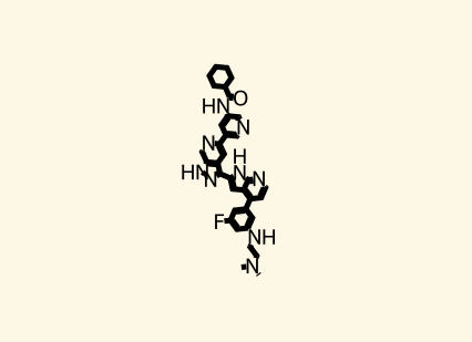 CN(C)CCNc1cc(F)cc(-c2ccnc3[nH]c(-c4n[nH]c5cnc(-c6cncc(NC(=O)C7CCCCC7)c6)cc45)cc23)c1